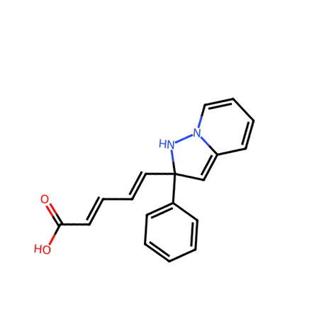 O=C(O)C=CC=CC1(c2ccccc2)C=C2C=CC=CN2N1